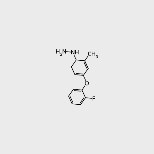 CC1=CC(Oc2ccccc2F)=CCC1NN